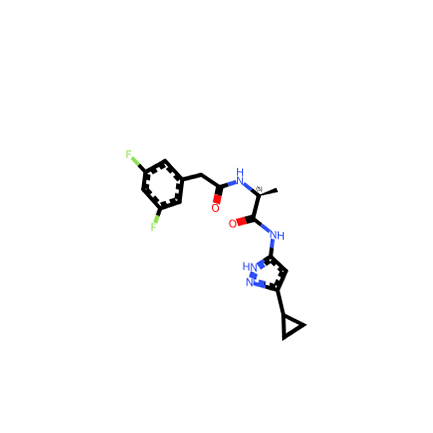 C[C@H](NC(=O)Cc1cc(F)cc(F)c1)C(=O)Nc1cc(C2CC2)n[nH]1